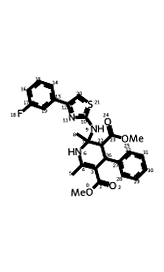 COC(=O)C1=C(C)NC(C)(Nc2nc(-c3cccc(F)c3)cs2)C(C(=O)OC)C1c1ccccc1